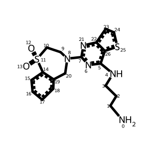 NCCCNc1nc(N2CCS(=O)(=O)c3ccccc3C2)nc2ccsc12